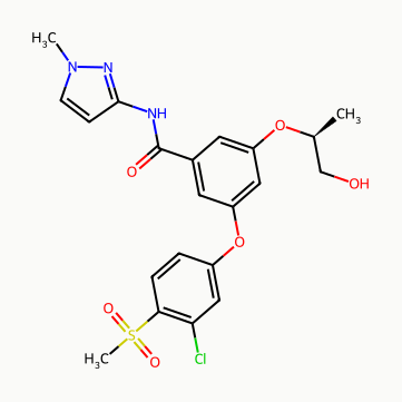 C[C@@H](CO)Oc1cc(Oc2ccc(S(C)(=O)=O)c(Cl)c2)cc(C(=O)Nc2ccn(C)n2)c1